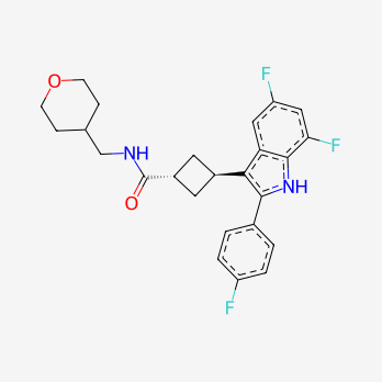 O=C(NCC1CCOCC1)[C@H]1C[C@H](c2c(-c3ccc(F)cc3)[nH]c3c(F)cc(F)cc32)C1